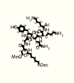 CCCCCCCCCCCCCCCC(=O)N[C@@H](CCOC)C(=O)NCC(=O)N[C@@H](Cc1ccc(O)cc1)C(=O)N[C@@H](CCC(N)=O)C(=O)N[C@@H](CCCCN)C(=O)N[C@@H](CCCCN)C(C)=O